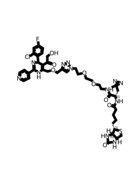 CC1(C[C@H](NC(=O)CCCC[C@@H]2SC[C@@H]3NC(=O)N[C@@H]32)C(=O)NCCOCCOCCn2cc(COCC3=C(C(=O)CO)C(c4ccc(F)cc4Cl)N=C(c4ccncc4)N3)nn2)N=N1